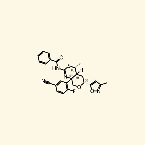 Cc1cc([C@H]2C[C@H]3[C@@H](C)SC(NC(=O)c4ccccc4)=N[C@@]3(c3cc(C#N)ccc3F)CO2)on1